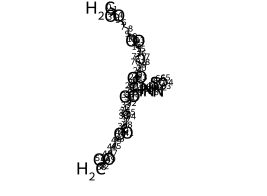 C=CC(=O)OCCCCCCOC(=O)/C=C/c1ccc(CCC(=O)Oc2ccc(OC(=O)CCc3ccc(/C=C/C(=O)OCCCCCCOC(=O)C=C)cc3)c(/C=N/Nc3nc4ccccc4s3)c2)cc1